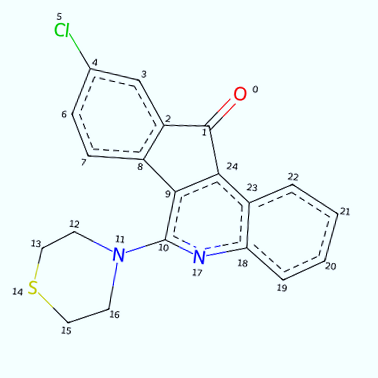 O=C1c2cc(Cl)ccc2-c2c(N3CCSCC3)nc3ccccc3c21